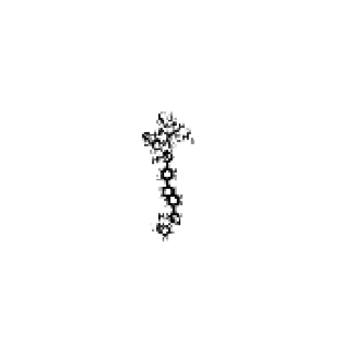 COC(=O)N[C@H](C(=O)N1C[C@@H](OC)C[C@H]1c1ncc(-c2ccc(-c3ccc4cc(-c5cnc([C@@H]6CCCN6)[nH]5)ccc4c3)cc2)[nH]1)C(C)C